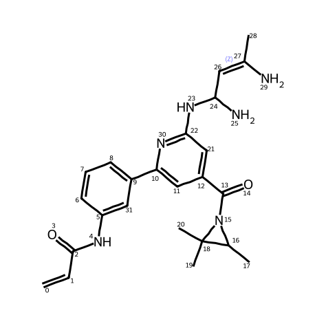 C=CC(=O)Nc1cccc(-c2cc(C(=O)N3C(C)C3(C)C)cc(NC(N)/C=C(/C)N)n2)c1